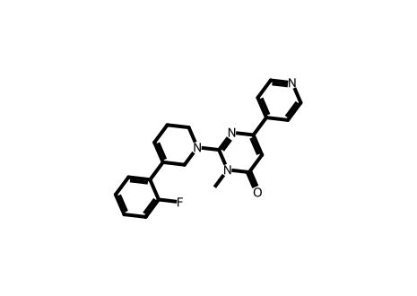 Cn1c(N2CCC=C(c3ccccc3F)C2)nc(-c2ccncc2)cc1=O